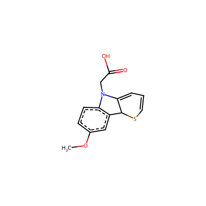 COc1ccc2c(c1)C1SC=CC=C1N2CC(=O)O